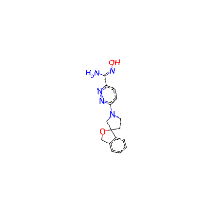 N/C(=N\O)c1ccc(N2CCC3(C2)OCc2ccccc23)nn1